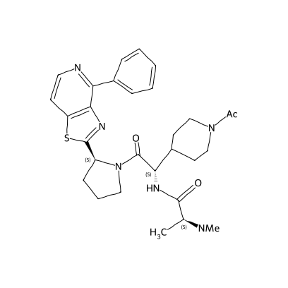 CN[C@@H](C)C(=O)N[C@H](C(=O)N1CCC[C@H]1c1nc2c(-c3ccccc3)nccc2s1)C1CCN(C(C)=O)CC1